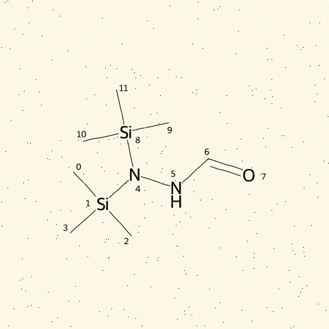 C[Si](C)(C)N(NC=O)[Si](C)(C)C